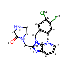 O=C1CNCCN1Cc1nc2cccnc2n1Cc1ccc(F)c(Cl)c1